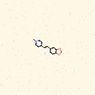 C[n+]1ccc(/C=C/c2ccc3c(c2)OCO3)cc1.[I-]